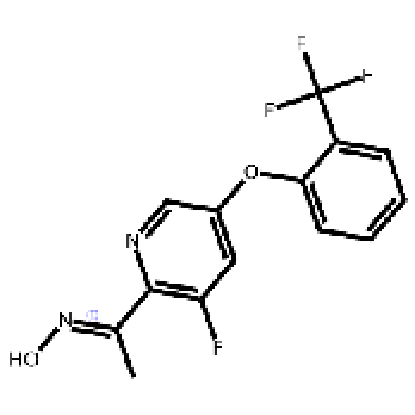 C/C(=N\O)c1ncc(Oc2ccccc2C(F)(F)F)cc1F